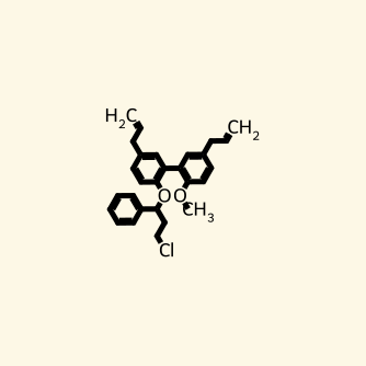 C=CCc1ccc(OC)c(-c2cc(CC=C)ccc2OC(CCCl)c2ccccc2)c1